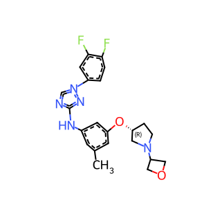 Cc1cc(Nc2ncn(-c3ccc(F)c(F)c3)n2)cc(O[C@@H]2CCN(C3COC3)C2)c1